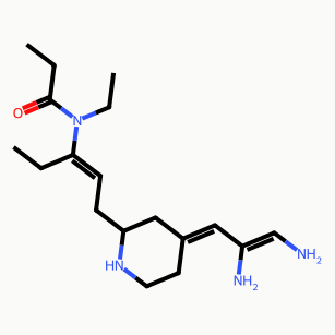 CCC(=O)N(CC)/C(=C/CC1C/C(=C/C(N)=C/N)CCN1)CC